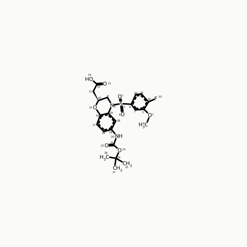 COc1cc(S(=O)(=O)N2C[C@H](CC(=O)O)Oc3ccc(NC(=O)OC(C)(C)C)cc32)ccc1F